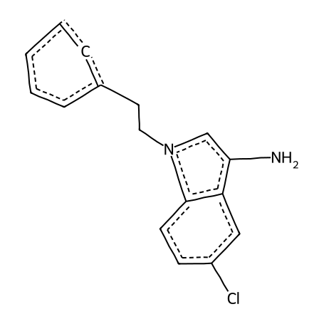 Nc1cn(CCc2ccccc2)c2ccc(Cl)cc12